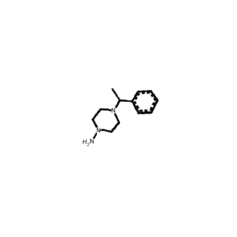 CC(c1ccccc1)N1CCN(N)CC1